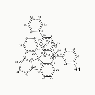 Clc1cccc(N(c2ccc(-c3ccccc3)cc2)c2cccc3c2C(c2ccccc2)(c2ccccc2)c2ccccc2-3)c1